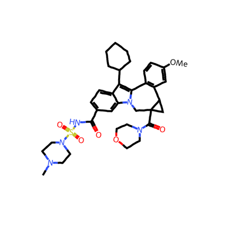 COc1ccc2c(c1)C1CC1(C(=O)N1CCOCC1)Cn1c-2c(C2CCCCC2)c2ccc(C(=O)NS(=O)(=O)N3CCN(C)CC3)cc21